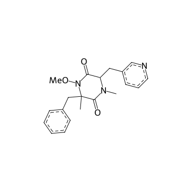 CON1C(=O)C(Cc2cccnc2)N(C)C(=O)C1(C)Cc1ccccc1